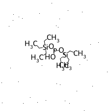 CC[Si](CC)(CC)OP(O)O[Si](CC)(CC)CC